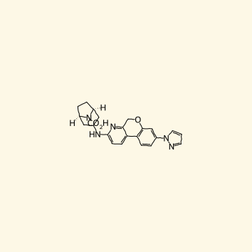 O=C(O)N1[C@@H]2CC[C@H]1CC(Nc1ccc3c(n1)COc1cc(-n4cccn4)ccc1-3)C2